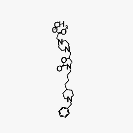 COC(=O)CN1CCN(CC2CN(CCCCC3CCN(Cc4ccccc4)CC3)C(=O)O2)CC1